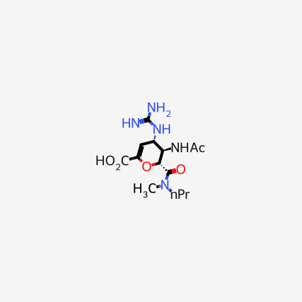 CCCN(C)C(=O)[C@@H]1OC(C(=O)O)=C[C@H](NC(=N)N)[C@H]1NC(C)=O